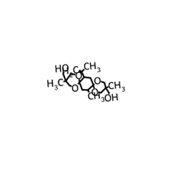 C=C(C)C1CC2(OCC(C)(CO)CO2)C(C)CC12OCC(C)(CO)CO2